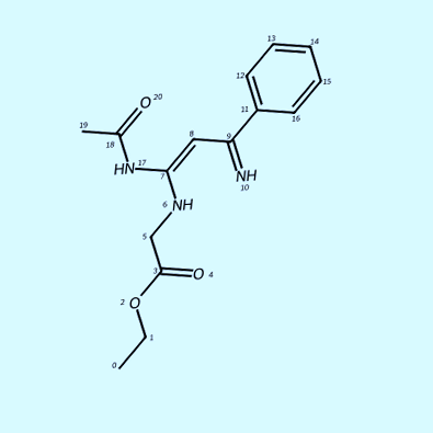 CCOC(=O)CN/C(=C\C(=N)c1ccccc1)NC(C)=O